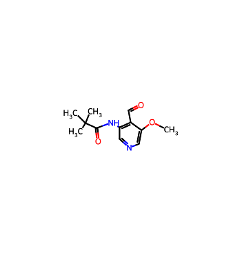 COc1cncc(NC(=O)C(C)(C)C)c1C=O